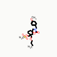 CCCCOCC1(COS(C)(=O)=O)CCCC2(CN(Cc3ccc(OC)cc3)C(=O)O2)C1